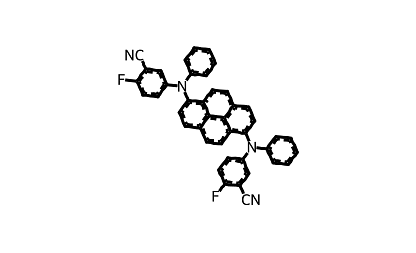 N#Cc1cc(N(c2ccccc2)c2ccc3ccc4c(N(c5ccccc5)c5ccc(F)c(C#N)c5)ccc5ccc2c3c54)ccc1F